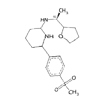 C[C@H](NC1CCCC(c2ccc(S(C)(=O)=O)cc2)N1)C1CCCO1